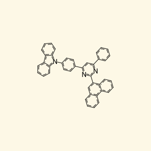 c1ccc(-c2cc(-c3ccc(-n4c5ccccc5c5ccccc54)cc3)nc(-c3cc4ccccc4c4ccccc34)n2)cc1